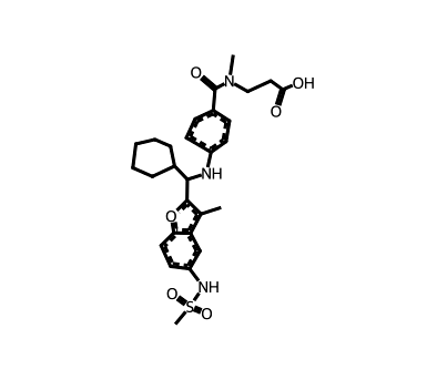 Cc1c(C(Nc2ccc(C(=O)N(C)CCC(=O)O)cc2)C2CCCCC2)oc2ccc(NS(C)(=O)=O)cc12